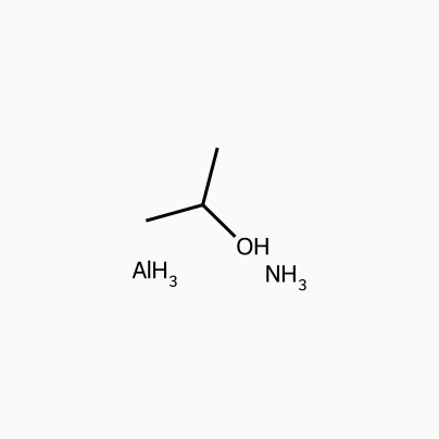 CC(C)O.N.[AlH3]